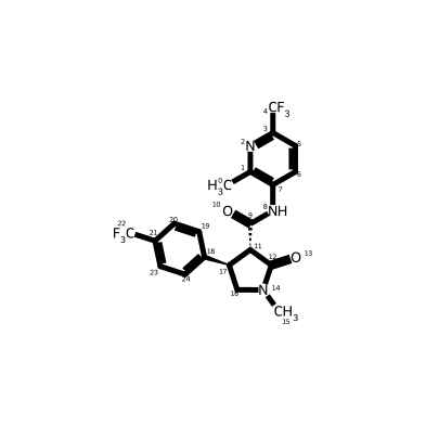 Cc1nc(C(F)(F)F)ccc1NC(=O)[C@@H]1C(=O)N(C)C[C@H]1c1ccc(C(F)(F)F)cc1